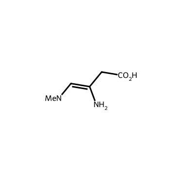 CN/C=C(\N)CC(=O)O